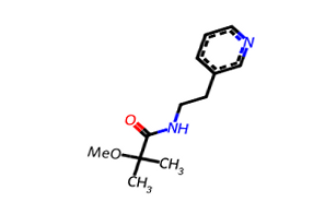 COC(C)(C)C(=O)NCCc1cccnc1